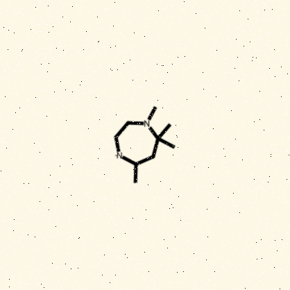 CC1CC(C)(C)N(C)CC[N]1